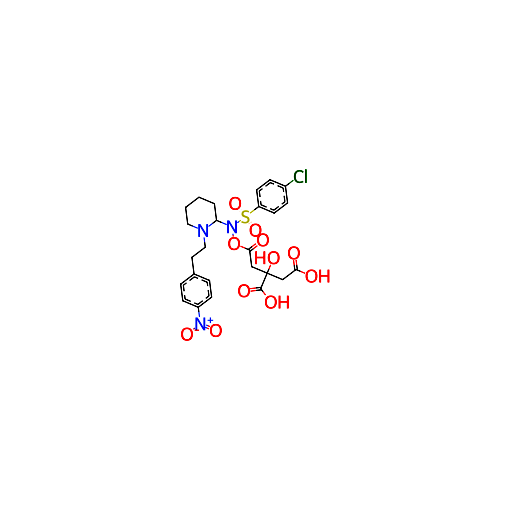 O=C(O)CC(O)(CC(=O)ON(C1CCCCN1CCc1ccc([N+](=O)[O-])cc1)S(=O)(=O)c1ccc(Cl)cc1)C(=O)O